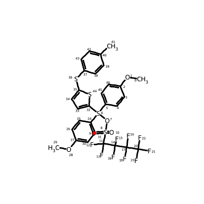 COc1ccc(S(OS(=O)(=O)C(F)(F)C(F)(F)C(F)(F)C(F)(F)F)(c2ccc(OC)cc2)c2ccc(Sc3ccc(C)cc3)s2)cc1